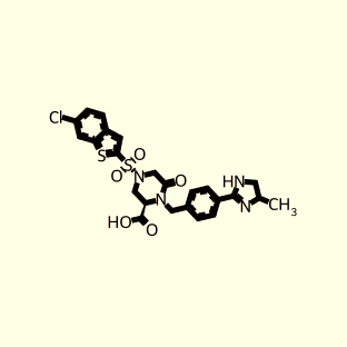 CC1CNC(c2ccc(CN3C(=O)CN(S(=O)(=O)c4cc5ccc(Cl)cc5s4)C[C@@H]3C(=O)O)cc2)=N1